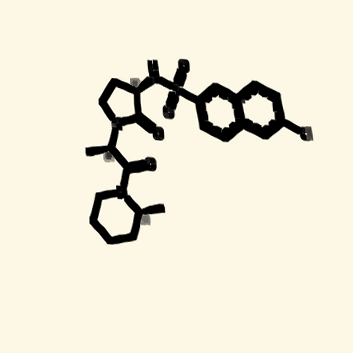 C[C@H](C(=O)N1CCCC[C@@H]1C)N1CC[C@@H](NS(=O)(=O)c2ccc3cc(Cl)ccc3c2)C1=O